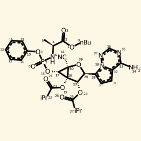 CCCCOC(=O)[C@H](C)NP(=O)(Oc1ccccc1)O[C@H]1[C@]2(OC(=O)C(C)C)[C@@H](OC(=O)C(C)C)[C@H](c3ccc4c(N)ncnn34)O[C@]12C#N